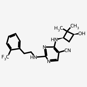 CC1(C)[C@@H](O)C[C@H]1Nc1nc(NCCc2ccccc2C(F)(F)F)ncc1C#N